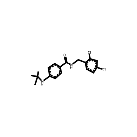 CC(C)(C)Nc1ccc(C(=O)NCc2ccc(Cl)cc2Cl)cc1